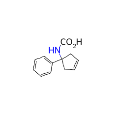 O=C(O)NC1(c2ccccc2)CC=CC1